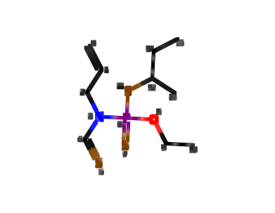 C=CCN(C=S)P(=S)(OCC)SC(C)CC